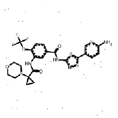 Nc1ccc(-c2nnc(NC(=O)c3ccc(OC(F)(F)F)c(NC(=O)C4(N5CCOCC5)CC4)c3)s2)cn1